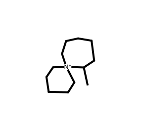 CC1CCCCC[N+]12CCCCC2